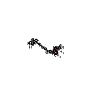 Cn1c(=O)c2c(nc(N3CCN(C(=O)CCOCCOCCOCCNc4cccc5c4C(=O)N(C4CCC(=O)NC4=O)C5=O)CC3)n2Cc2nnc(-c3ccc(Cl)c(Cl)c3)o2)n(C)c1=O